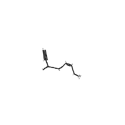 C#CC(C)C/C=C\CC(C)C